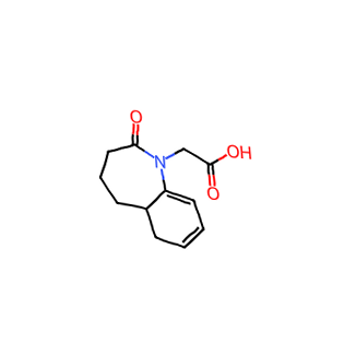 O=C(O)CN1C(=O)CCCC2CC=CC=C21